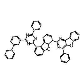 C1=CC(c2nc(-c3ccccc3)c3oc4ccccc4c3n2)C2Oc3cccc(-c4nc(-c5ccccc5)nc(-c5cccc(-c6ccccc6)c5)n4)c3C2=C1